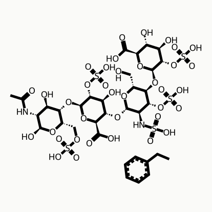 CC(=O)N[C@@H]1[C@@H](O)[C@H](O[C@@H]2O[C@H](C(=O)O)[C@@H](O[C@@H]3O[C@H](CO)[C@@H](O[C@H]4O[C@@H](C(=O)O)[C@H](O)[C@@H](O)[C@@H]4OS(=O)(=O)O)[C@H](OS(=O)(=O)O)[C@H]3NS(=O)(=O)O)[C@H](O)[C@H]2OS(=O)(=O)O)[C@H](COS(=O)(=O)O)O[C@H]1O.CCc1ccccc1